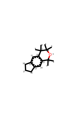 CC1(C)OC(C)(C)C(C)(C)c2cc3c(cc21)CCC3